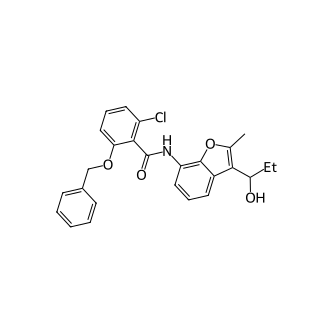 CCC(O)c1c(C)oc2c(NC(=O)c3c(Cl)cccc3OCc3ccccc3)cccc12